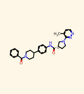 Cc1ccnnc1N1CC[C@H](C(=O)Nc2ccc(C3CCN(C(=O)c4ccccc4)CC3)cc2)C1